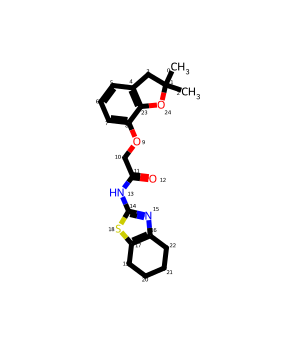 CC1(C)Cc2cccc(OCC(=O)Nc3nc4c(s3)CCCC4)c2O1